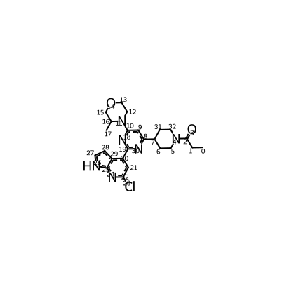 CCC(=O)N1CCC(c2cc(N3CCOCC3C)nc(-c3cc(Cl)nc4[nH]ccc34)n2)CC1